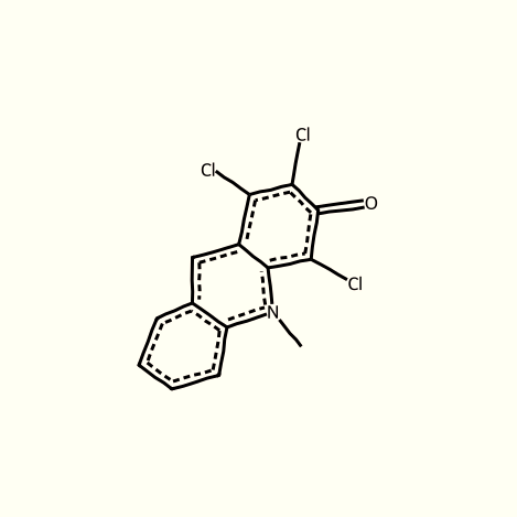 Cn1c2c(Cl)c(=O)c(Cl)c(Cl)c-2cc2ccccc21